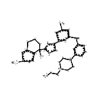 Cc1cc(Nc2cc(N3CCN(CCN)CC3)ccn2)nc(-c2cnc(C3(O)CCCc4cc(C(=O)O)ccc43)s2)c1